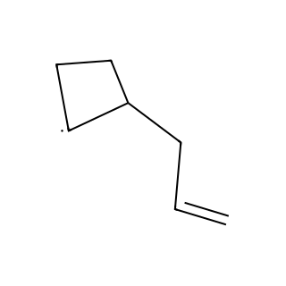 C=CCC1[CH]CC1